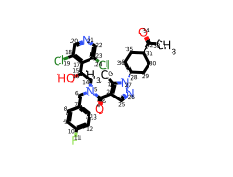 Cc1c(C(=O)N(Cc2ccc(F)cc2)CC(O)c2c(Cl)cncc2Cl)cnn1[C@H]1CC[C@H](C(C)=O)CC1